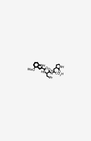 COc1cccc2[nH]c(C(=O)NC(CC(C)C)C(=O)NC(CC3CCNC3=O)C(=O)O)cc12